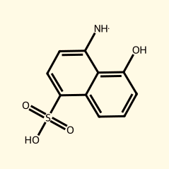 [NH]c1ccc(S(=O)(=O)O)c2cccc(O)c12